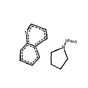 CCCCCN1CCCC1.c1ccc2ncccc2c1